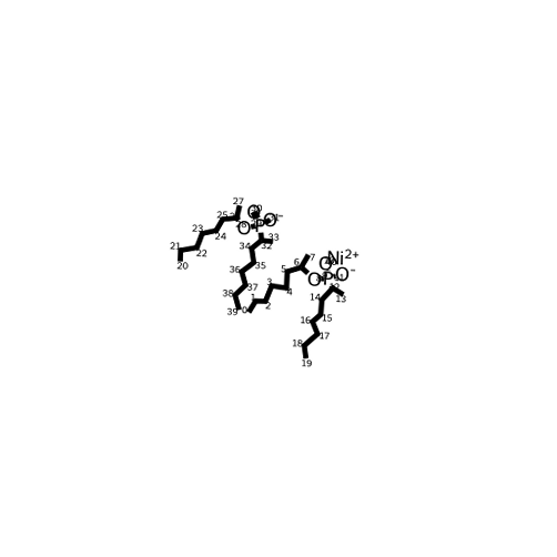 CCCCCCC(C)OP(=O)([O-])C(C)CCCCCC.CCCCCCC(C)OP(=O)([O-])C(C)CCCCCC.[Ni+2]